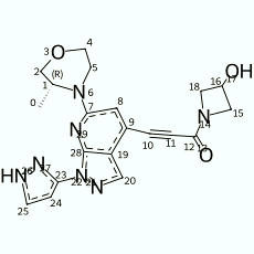 C[C@@H]1COCCN1c1cc(C#CC(=O)N2CC(O)C2)c2cnn(-c3cc[nH]n3)c2n1